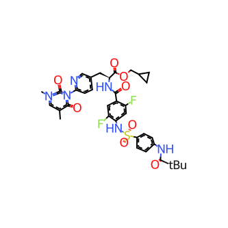 Cc1cn(C)c(=O)n(-c2ccc(C[C@H](NC(=O)c3cc(F)c(NS(=O)(=O)c4ccc(NC(=O)C(C)(C)C)cc4)cc3F)C(=O)OCC3CC3)cn2)c1=O